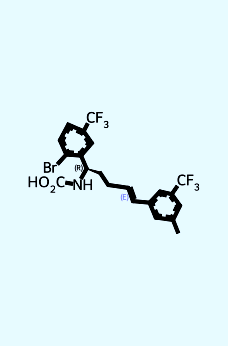 Cc1cc(/C=C/CC[C@@H](NC(=O)O)c2cc(C(F)(F)F)ccc2Br)cc(C(F)(F)F)c1